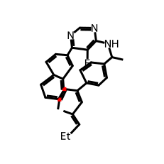 C\C=C/C(=C\C(C)=C\CC)c1ccc(C(C)Nc2ncnc(-c3ccc4ccccc4c3)c2F)cc1